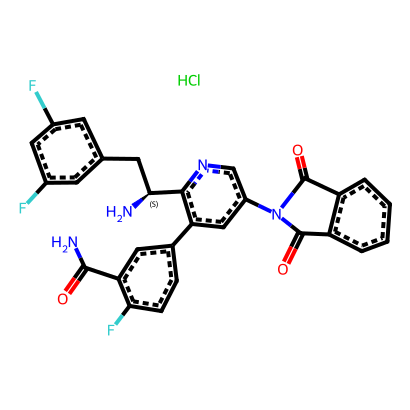 Cl.NC(=O)c1cc(-c2cc(N3C(=O)c4ccccc4C3=O)cnc2[C@@H](N)Cc2cc(F)cc(F)c2)ccc1F